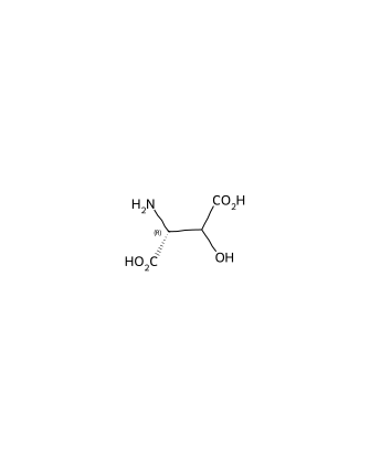 N[C@@H](C(=O)O)C(O)C(=O)O